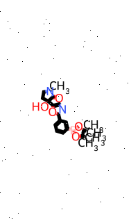 CN1CCC(O)(c2cnc(-c3cccc(B4OC(C)(C)C(C)(C)O4)c3)o2)C1=O